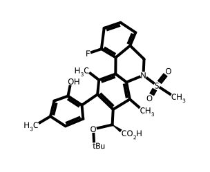 Cc1ccc(-c2c(C)c3c(c(C)c2[C@H](OC(C)(C)C)C(=O)O)N(S(C)(=O)=O)Cc2cccc(F)c2-3)c(O)c1